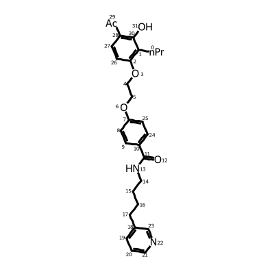 CCCc1c(OCCOc2ccc(C(=O)NCCCCc3cccnc3)cc2)ccc(C(C)=O)c1O